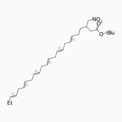 CC/C=C/C/C=C/C/C=C/C/C=C/C/C=C/C/C=C/CCC(CC(=O)OC(C)(C)C)C[N+](=O)[O-]